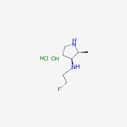 C[C@@H]1NCC[C@@H]1NCCF.Cl.Cl